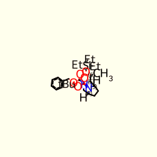 CC[Si](CC)(CC)O[C@@H](C)[C@@H]1[C@@H]2CC[C@H](CN1C(=O)OCc1ccccc1)N2C(=O)OC(C)(C)C